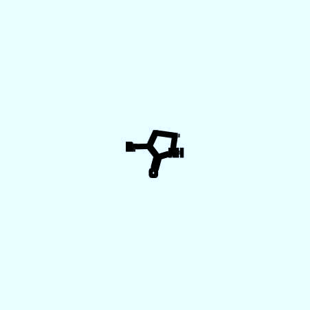 O=C1N[CH]CC1Br